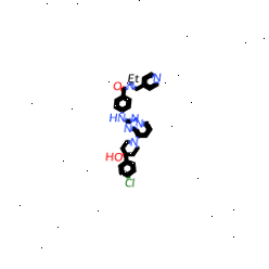 CCN(Cc1ccncc1)C(=O)c1ccc(Nc2nc3c(N4CCC(O)(c5ccc(Cl)cc5)CC4)cccn3n2)cc1